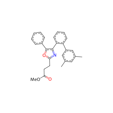 COC(=O)CCc1nc(-c2ccccc2-c2cc(C)cc(C)c2)c(-c2ccccc2)o1